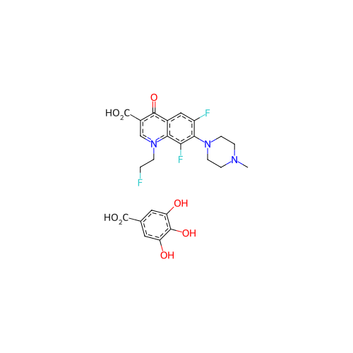 CN1CCN(c2c(F)cc3c(=O)c(C(=O)O)cn(CCF)c3c2F)CC1.O=C(O)c1cc(O)c(O)c(O)c1